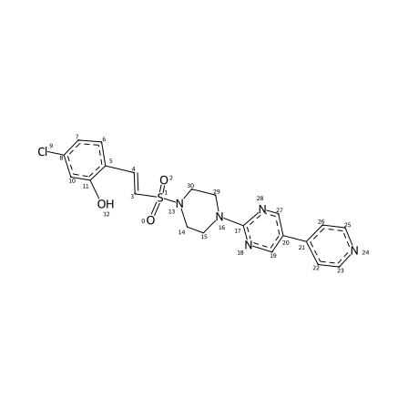 O=S(=O)(C=Cc1ccc(Cl)cc1O)N1CCN(c2ncc(-c3ccncc3)cn2)CC1